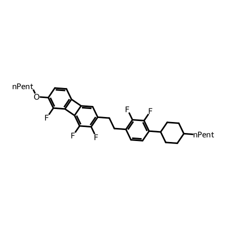 CCCCCOc1ccc2c(c1F)-c1c-2cc(CCc2ccc(C3CCC(CCCCC)CC3)c(F)c2F)c(F)c1F